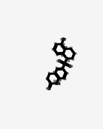 O=C1CCc2cc(S(=O)(=O)N3CCCc4c(Br)cccc43)ccc2N1